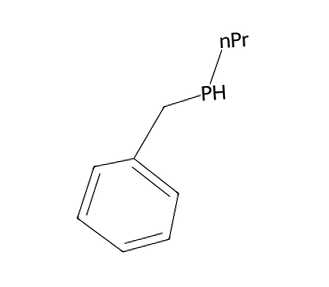 CCCPCc1ccccc1